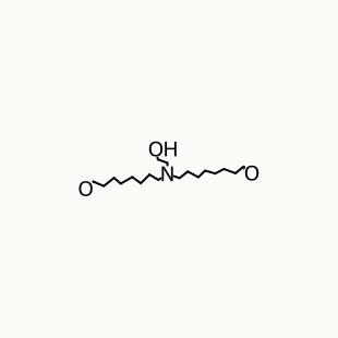 O=CCCCCCCCN(CCO)CCCCCCCC=O